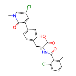 Cc1cccc(Cl)c1C(=O)N[C@@H](Cc1ccc(-c2cc(Cl)cn(C)c2=O)cc1)C(=O)O